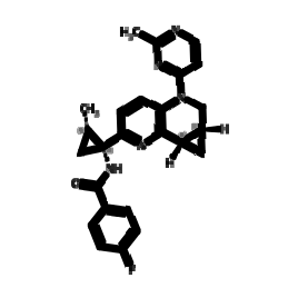 Cc1nccc(N2C[C@@H]3C[C@@H]3c3nc([C@@]4(NC(=O)c5ccc(F)cc5)C[C@@H]4C)ccc32)n1